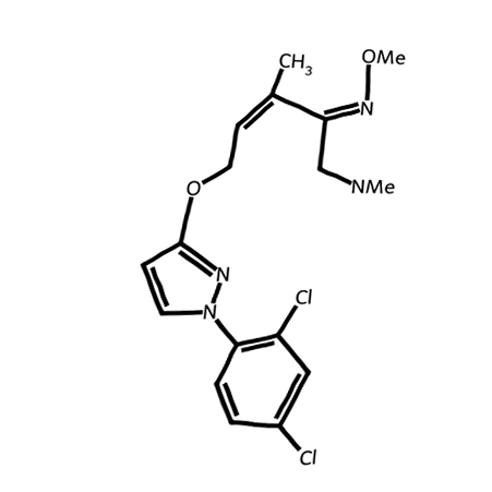 CNCC(=N/OC)/C(C)=C\COc1ccn(-c2ccc(Cl)cc2Cl)n1